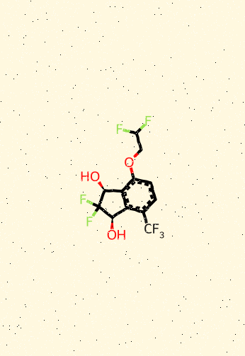 O[C@@H]1c2c(C(F)(F)F)ccc(OCC(F)F)c2[C@H](O)C1(F)F